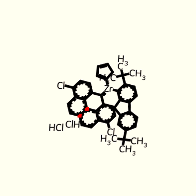 CC(C)(C)c1ccc2c(c1)Cc1c-2ccc(C(C)(C)C)[c]1[Zr]([C]1=CC=CC1)=[C](c1ccc(Cl)c2ccccc12)c1ccc(Cl)c2ccccc12.Cl.Cl